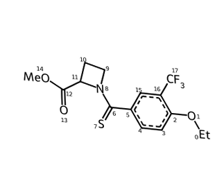 CCOc1ccc(C(=S)N2CCC2C(=O)OC)cc1C(F)(F)F